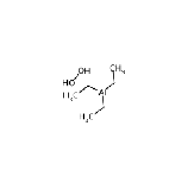 C[CH2][Al]([CH2]C)[CH2]C.OO